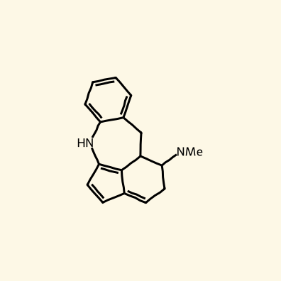 CNC1CC=C2C=CC3=C2C1Cc1ccccc1N3